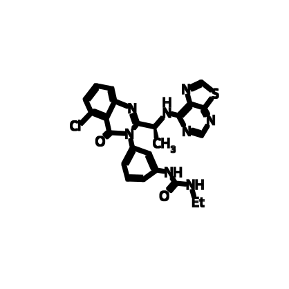 CCNC(=O)Nc1cccc(-n2c([C@H](C)Nc3ncnc4scnc34)nc3cccc(Cl)c3c2=O)c1